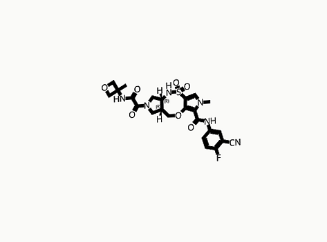 Cn1cc2c(c1C(=O)Nc1ccc(F)c(C#N)c1)OC[C@@H]1CN(C(=O)C(=O)NC3(C)COC3)C[C@@H]1NS2(=O)=O